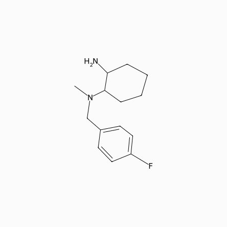 CN(Cc1ccc(F)cc1)C1CCCCC1N